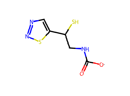 [O]C(=O)NCC(S)c1cnns1